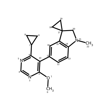 COc1ncnc(C2CC2)c1-c1ccc2c(c1)C1(CC1)CN2C